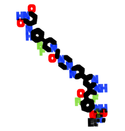 CCN(C)S(=O)(=O)Nc1ccc(F)c(C(=O)c2c[nH]c3ncc(-c4ccc(N5CCN(C(=O)CN6CC[C@H](c7ccc(NC8CCC(=O)NC8=O)cc7)C(F)(F)C6)CC5)nc4)cc23)c1F